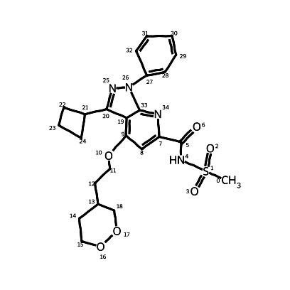 CS(=O)(=O)NC(=O)c1cc(OCCC2CCOOC2)c2c(C3CCC3)nn(-c3ccccc3)c2n1